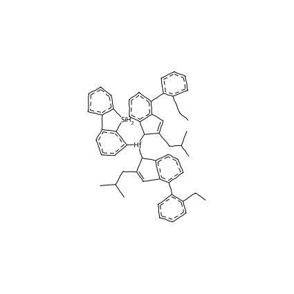 CCc1ccccc1-c1cccc2c1C=C(CC(C)C)[CH]2[Hf]([c]1cccc2c1[SiH2]c1ccccc1-2)[CH]1C(CC(C)C)=Cc2c(-c3ccccc3CC)cccc21